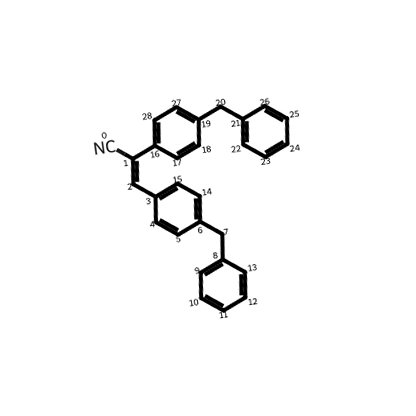 N#CC(=Cc1ccc(Cc2ccccc2)cc1)c1ccc(Cc2ccccc2)cc1